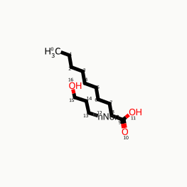 CCCCCCCCCC(=O)O.CCCCCCCCCCCCO